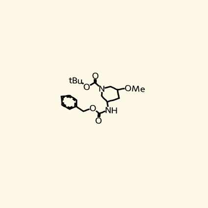 COC1CC(NC(=O)OCc2ccccc2)CN(C(=O)OC(C)(C)C)C1